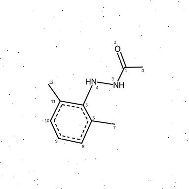 CC(=O)NNc1c(C)cccc1C